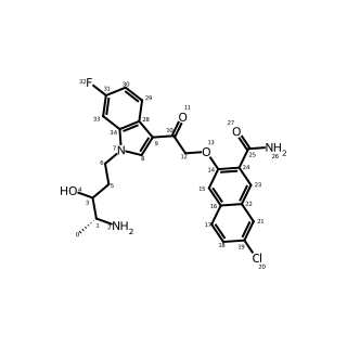 C[C@@H](N)C(O)CCn1cc(C(=O)COc2cc3ccc(Cl)cc3cc2C(N)=O)c2ccc(F)cc21